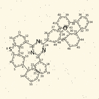 c1ccc(-c2ccc3sc4cccc(-c5nc(-c6ccccc6)nc(-c6ccc7oc8c(-c9ccccc9-c9ccccc9)cccc8c7c6)n5)c4c3c2)cc1